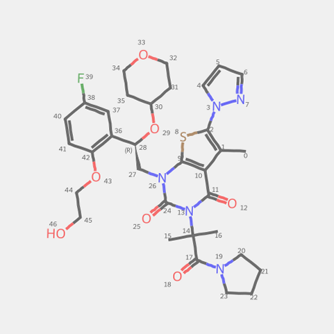 Cc1c(-n2cccn2)sc2c1c(=O)n(C(C)(C)C(=O)N1CCCC1)c(=O)n2C[C@H](OC1CCOCC1)c1cc(F)ccc1OCCO